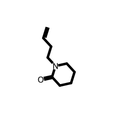 C=CCCN1CCCCC1=O